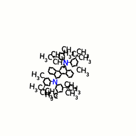 Cc1cc(N(c2cc(C)cc(C(C)(C)C)c2)c2cc3c4ccccc4c(N(c4cc(C)cc(C(C)(C)C)c4)c4cc(C)cc(C(C)(C)C)c4)cc3c3ccccc23)cc(C(C)(C)C)c1